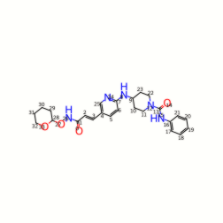 O=C(C=Cc1ccc(NC2CCN(C(=O)Nc3ccccc3)CC2)nc1)NOC1CCCCO1